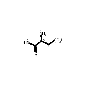 [NH]C(=O)[C@@H](N)CC(=O)O